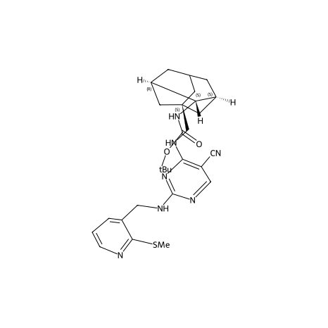 CSc1ncccc1CNc1ncc(C#N)c(NC[C@]23CC4C[C@H](C2)[C@@H](NC(=O)OC(C)(C)C)[C@@H](C4)C3)n1